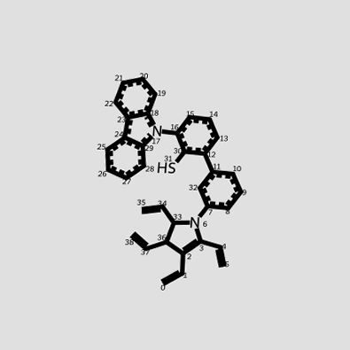 C=CC1=C(C=C)N(c2cccc(-c3cccc(-n4c5ccccc5c5ccccc54)c3S)c2)C(C=C)C1C=C